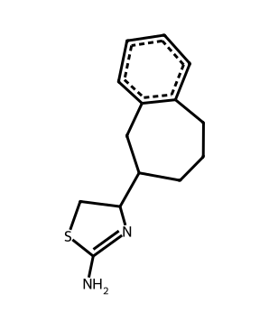 NC1=NC(C2CCCc3ccccc3C2)CS1